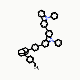 C=Cc1ccc(C23CC4CC(C2)CC(c2ccc(-c5ccc6c(c5)c5cc(-c7ccc8c9ccccc9n(-c9ccccc9)c8c7)ccc5n6-c5ccccc5)cc2)(C4)C3)cc1